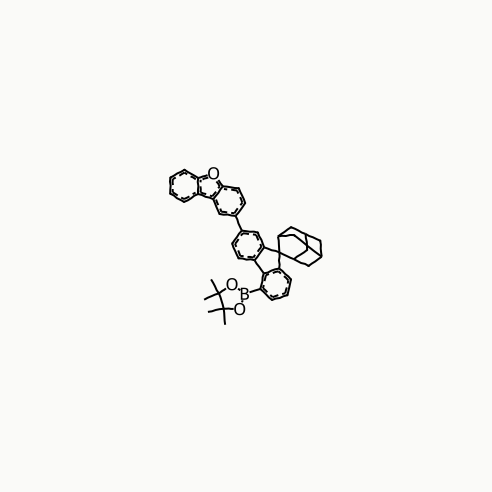 CC1(C)OB(c2cccc3c2-c2ccc(-c4ccc5oc6ccccc6c5c4)cc2C32C3CC4CC(C3)CC2C4)OC1(C)C